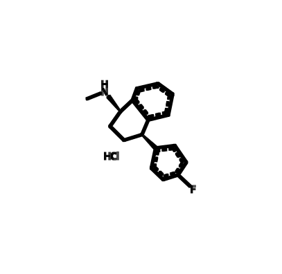 CN[C@@H]1CC[C@H](c2ccc(F)cc2)c2ccccc21.Cl